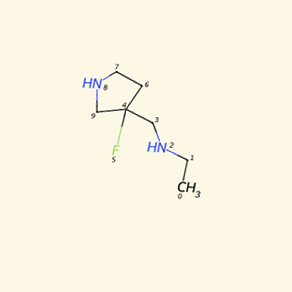 CCNCC1(F)CCNC1